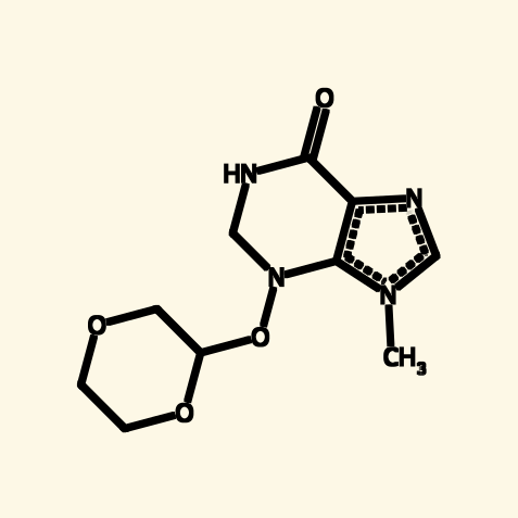 Cn1cnc2c1N(OC1COCCO1)CNC2=O